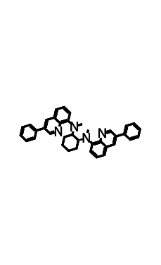 CN(c1cccc2cc(-c3ccccc3)cnc12)C1CCCC[C@@H]1N(C)c1cccc2cc(-c3ccccc3)cnc12